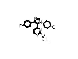 COc1nccc(-c2c(-c3ccc(F)cc3)ncn2[C@H]2CC[C@@H](O)CC2)n1